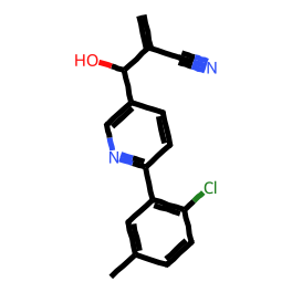 C=C(C#N)C(O)c1ccc(-c2cc(C)ccc2Cl)nc1